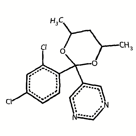 CC1CC(C)OC(c2cncnc2)(c2ccc(Cl)cc2Cl)O1